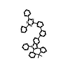 CC1(C)c2ccccc2-c2c(n(-c3ccccc3)c3ccc(-c4cccc(-c5cccc(-c6nc(-c7ccccc7)nc(-c7ccccc7)n6)c5)c4)cc23)-c2ccccc21